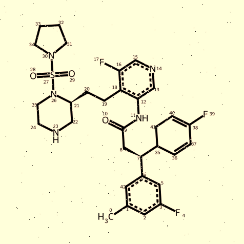 Cc1cc(F)cc([C@@H](CC(=O)Nc2cncc(F)c2CC[C@H]2CNCCN2S(=O)(=O)N2CCCC2)C2C=CC(F)=CC2)c1